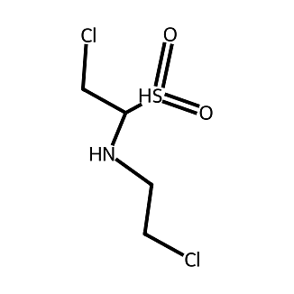 O=[SH](=O)C(CCl)NCCCl